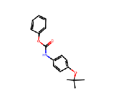 CC(C)(C)Oc1ccc(NC(=O)Oc2ccccc2)cc1